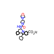 O=C(O)c1ccc2c(C3CCCCC3)c3n(c2c1)CC(NC(=O)N1CCC(N2CCOCC2)CC1)Cc1ccccc1-3